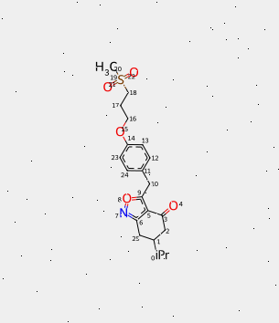 CC(C)C1CC(=O)c2c(noc2Cc2ccc(OCCCS(C)(=O)=O)cc2)C1